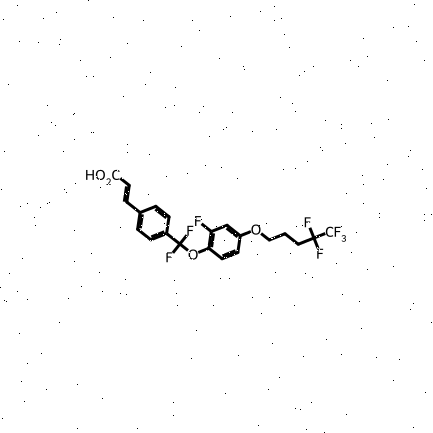 O=C(O)C=Cc1ccc(C(F)(F)Oc2ccc(OCCCC(F)(F)C(F)(F)F)cc2F)cc1